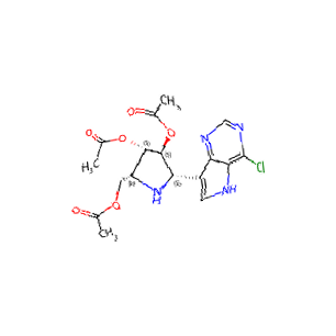 CC(=O)OC[C@H]1N[C@@H](c2c[nH]c3c(Cl)ncnc23)[C@H](OC(C)=O)[C@H]1OC(C)=O